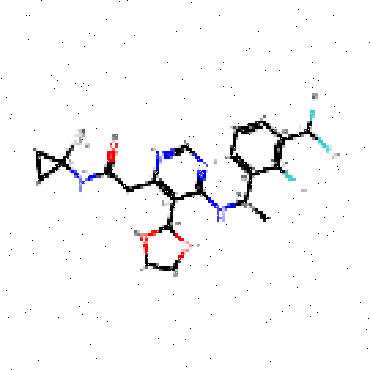 C[C@@H](Nc1ncnc(CC(=O)NC2(C(F)(F)F)CC2)c1C1OCCO1)c1cccc(C(F)F)c1F